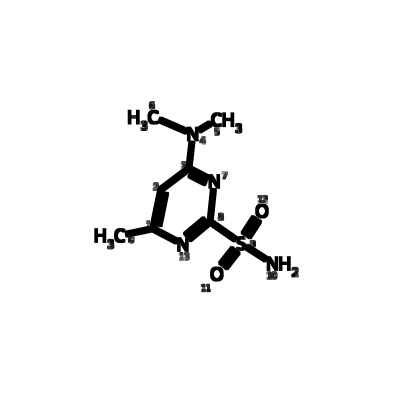 Cc1cc(N(C)C)nc(S(N)(=O)=O)n1